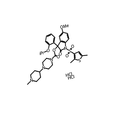 COc1ccc2c(c1)C(OC(=O)N1CCN(C3CCN(C)CC3)CC1)(c1ccccc1OC(C)C)C(=O)N2S(=O)(=O)c1cc(C)sc1C.Cl.Cl